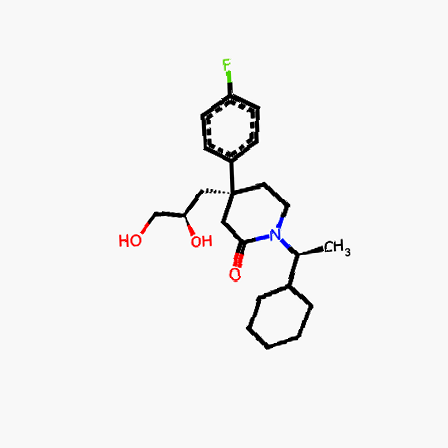 C[C@@H](C1CCCCC1)N1CC[C@](C[C@@H](O)CO)(c2ccc(F)cc2)CC1=O